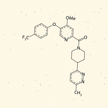 COc1cc(C(=O)N2CCC(c3ccc(C)nn3)CC2)ncc1Oc1ccc(C(F)(F)F)cc1